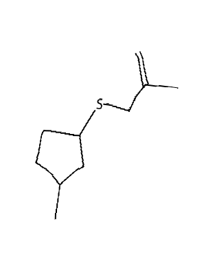 C=C(C)CSC1CCC(C)C1